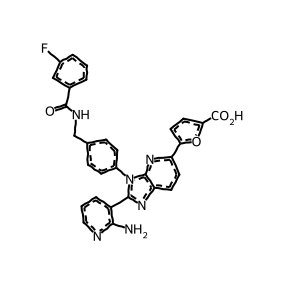 Nc1ncccc1-c1nc2ccc(-c3ccc(C(=O)O)o3)nc2n1-c1ccc(CNC(=O)c2cccc(F)c2)cc1